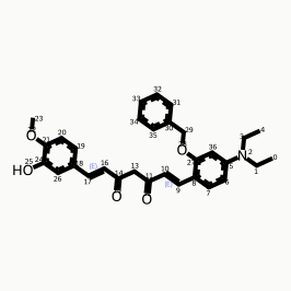 CCN(CC)c1ccc(/C=C/C(=O)CC(=O)/C=C/c2ccc(OC)c(O)c2)c(OCc2ccccc2)c1